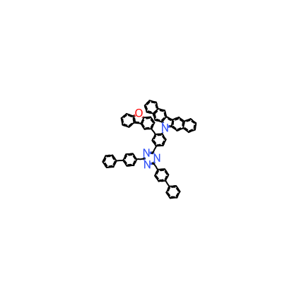 c1ccc(-c2ccc(-c3nc(-c4ccc(-c5ccccc5)cc4)nc(-c4ccc(-n5c6cc7ccccc7cc6c6cc7ccccc7cc65)c(-c5ccc6oc7ccccc7c6c5)c4)n3)cc2)cc1